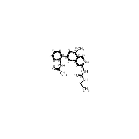 CCNC(=O)Nc1cc2cc(-c3ccccc3NC(C)=O)cc(C)c2cn1